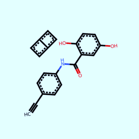 C#Cc1ccc(NC(=O)c2cc(O)ccc2O)cc1.c1cc2ccc1-2